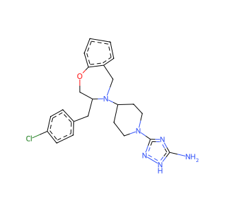 Nc1nc(N2CCC(N3Cc4ccccc4OCC3Cc3ccc(Cl)cc3)CC2)n[nH]1